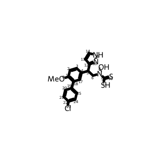 COc1ccc(C(CN(O)C(=S)S)c2cc[nH]n2)cc1-c1ccc(Cl)cc1